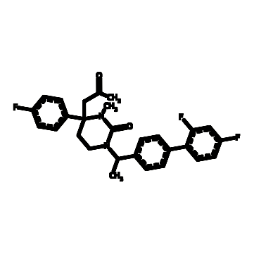 CC(=O)CC1(c2ccc(F)cc2)CCN(C(C)c2ccc(-c3ccc(F)cc3F)cc2)C(=O)N1C